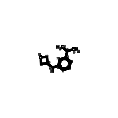 CC(C)c1cccc(NC2COC2)c1